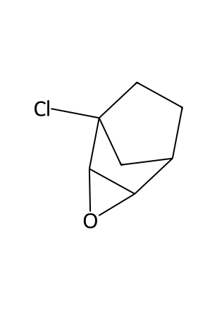 ClC12CCC(C1)C1OC12